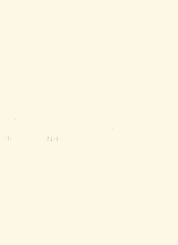 O=C(NC(Cc1cccc(Oc2ccccc2)c1)C(=O)O)c1ccccc1